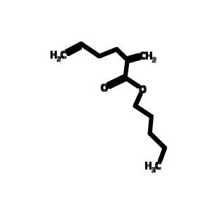 C=CCCC(=C)C(=O)OCCCCC